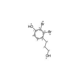 OCCCc1ccc(O)c(Br)c1Br